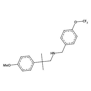 COc1ccc(C(C)(C)CNCc2ccc(OC(F)(F)F)cc2)cc1